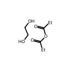 CCC(=O)OC(=O)CC.OCCO